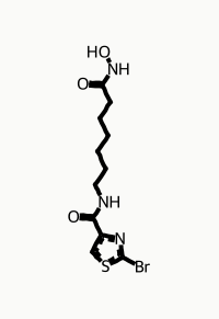 O=C(CCCCCCNC(=O)c1csc(Br)n1)NO